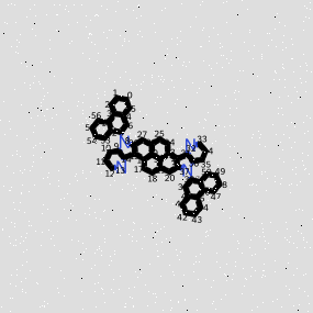 c1ccc2c(c1)cc(-n1c3cccnc3c3c4ccc5cc6c(c7ccc(cc31)c4c57)c1ncccc1n6-c1cc3ccccc3c3ccccc13)c1ccccc12